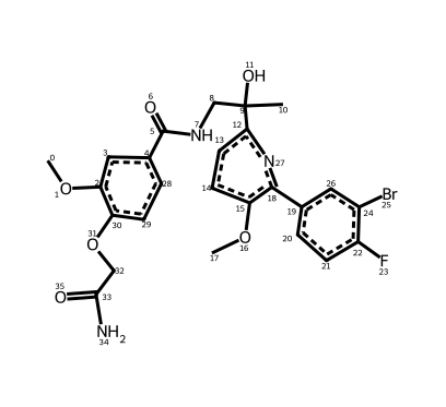 COc1cc(C(=O)NCC(C)(O)c2ccc(OC)c(-c3ccc(F)c(Br)c3)n2)ccc1OCC(N)=O